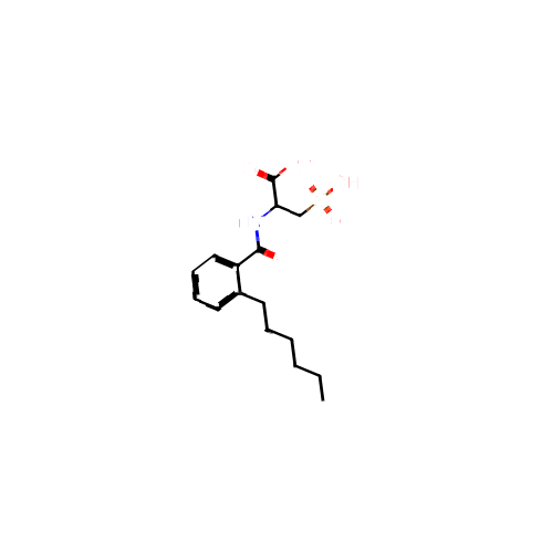 CCCCCCc1ccccc1C(=O)NC(CS(=O)(=O)O)C(=O)O